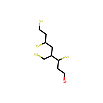 OCCC(S)C(CS)CC(S)CCS